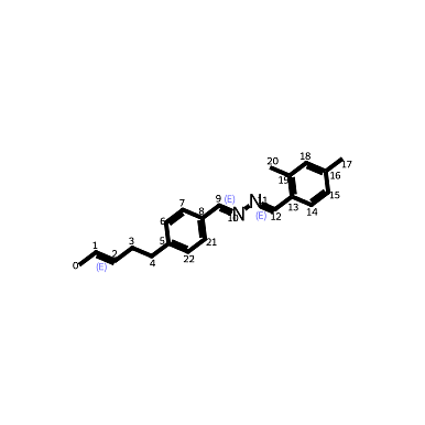 C/C=C/CCc1ccc(/C=N/N=C/c2ccc(C)cc2C)cc1